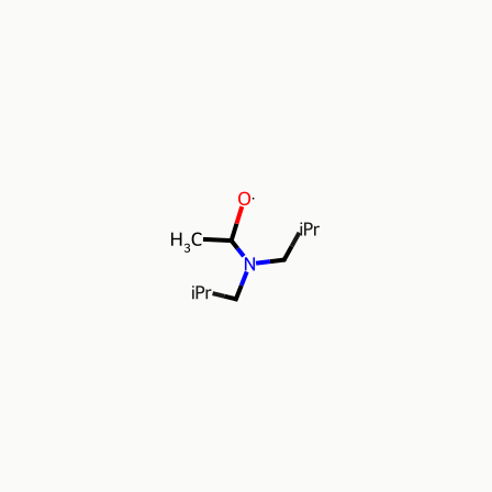 CC(C)CN(CC(C)C)C(C)[O]